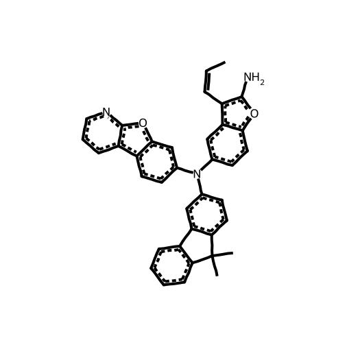 C/C=C\c1c(N)oc2ccc(N(c3ccc4c(c3)-c3ccccc3C4(C)C)c3ccc4c(c3)oc3ncccc34)cc12